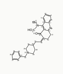 CC(C)(C)N(C(=O)O)c1c2c(nc3ccccc13)CCC(=CCC1CCN(Cc3ccccc3)CC1)C2=O